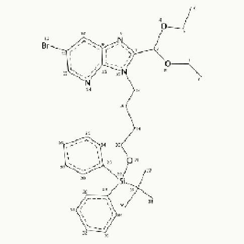 CCOC(OCC)c1nc2cc(Br)cnc2n1CCCCO[Si](c1ccccc1)(c1ccccc1)C(C)(C)C